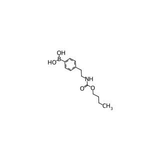 CCCCOC(=O)NCCc1ccc(B(O)O)cc1